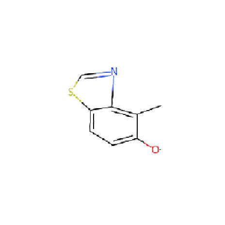 Cc1c([O])ccc2scnc12